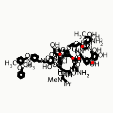 CN[C@H](CC(C)C)C(=O)NC1C(=O)NC(CC(N)=O)C(=O)N[C@H]2C(=O)N[C@H]3C(=O)N[C@H](C(=O)N[C@@H](O)c4cc(O)cc(O)c4-c4cc3ccc4O)[C@H](O[C@H]3C[C@](C)(N)[C@@H](O)[C@H](C)O3)c3ccc(c(Cl)c3)Oc3cc2cc(c3O[C@@H]2O[C@H](CO)[C@@H](O[C@@H]3O[C@H](CNCc4cccc(NC(=O)c5ccc(C)c(OCc6ccccc6)c5C)c4)[C@H](O)[C@H](O)[C@H]3O)[C@H](O)[C@H]2O)Oc2ccc(cc2Cl)[C@H]1O